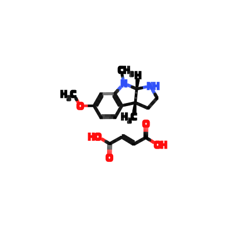 COc1ccc2c(c1)N(C)[C@@H]1NCC[C@]21C.O=C(O)/C=C/C(=O)O